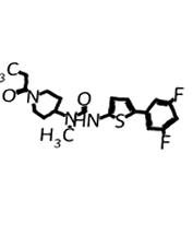 CCC(=O)N1CCC(N(C)C(=O)Nc2ccc(-c3cc(F)cc(F)c3)s2)CC1